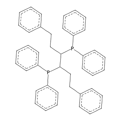 c1ccc(CCC(C(CCc2ccccc2)P(c2ccccc2)c2ccccc2)P(c2ccccc2)c2ccccc2)cc1